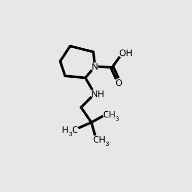 CC(C)(C)CNC1CCCCN1C(=O)O